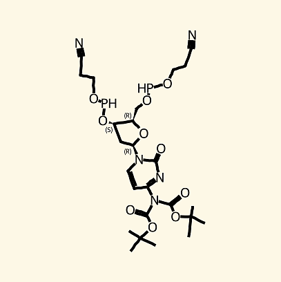 CC(C)(C)OC(=O)N(C(=O)OC(C)(C)C)c1ccn([C@H]2C[C@H](OPOCCC#N)[C@@H](COPOCCC#N)O2)c(=O)n1